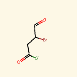 O=CC(Br)CC(=O)Cl